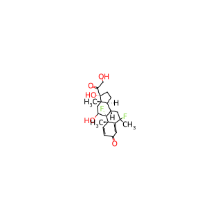 CC1(F)C[C@H]2[C@@H]3CC[C@](O)(C(=O)CO)[C@@]3(C)CC(O)[C@]2(F)[C@@]2(C)C=CC(=O)C=C12